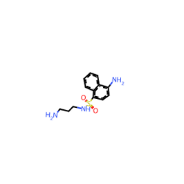 NCCCNS(=O)(=O)c1ccc(N)c2ccccc12